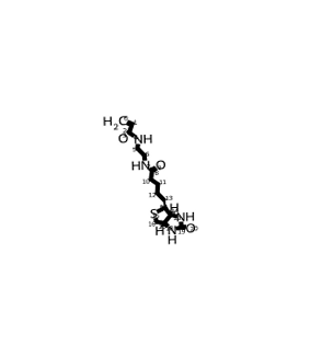 C=CC(=O)NCCNC(=O)CCCC[C@@H]1SC[C@@H]2NC(=O)N[C@@H]21